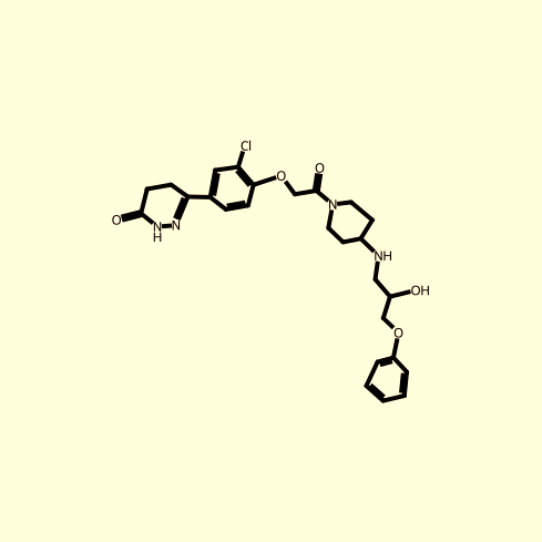 O=C1CCC(c2ccc(OCC(=O)N3CCC(NCC(O)COc4ccccc4)CC3)c(Cl)c2)=NN1